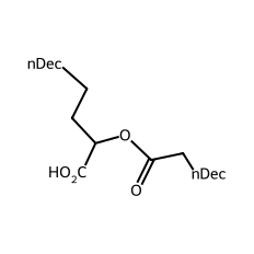 CCCCCCCCCCCCC(OC(=O)CCCCCCCCCCC)C(=O)O